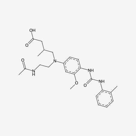 COc1cc(N(CCNC(C)=O)CC(C)CC(=O)O)ccc1NC(=O)Nc1ccccc1C